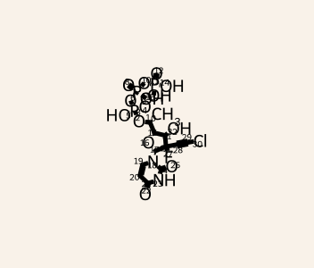 C[C@H](OP(=O)(O)OP(=O)(O)OP(=O)(O)O)[C@H]1O[C@@H](n2ccc(=O)[nH]c2=O)C(F)(C#CCl)C1O